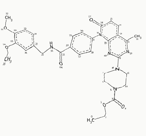 CCOC(=O)N1CCN(c2nc(C)c3ccc(=O)n(-c4ccc(C(=O)NCc5ccc(OC)c(OC)c5)cc4)c3n2)CC1